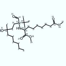 CCCCCCC(C)(O)CC[N+](C=O)(NC(CCCCCCC(=O)OC)C(=O)OC)C(C)(C)C